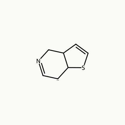 [C]1C=NCC2C=CSC12